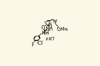 COCCN(C)Cc1csc(NC(=O)NCc2ccc(F)c(Cl)c2)n1.Cl